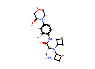 NC[C@H](C(=O)Nc1ccc(N2CCOCC2=O)cc1F)N(C1CCC1)C1CCC1